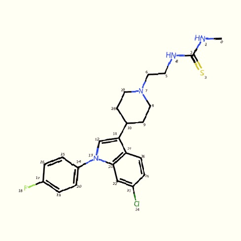 CNC(=S)NCCN1CCC(c2cn(-c3ccc(F)cc3)c3cc(Cl)ccc23)CC1